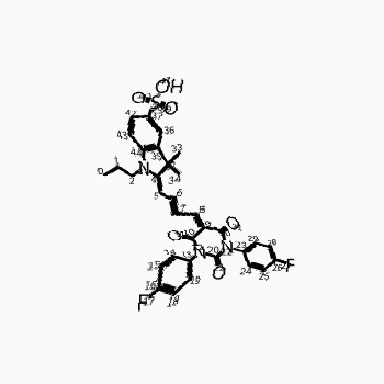 CCCN1/C(=C/C=C/C=C2C(=O)N(c3ccc(F)cc3)C(=O)N(c3ccc(F)cc3)C2=O)C(C)(C)c2cc(S(=O)(=O)O)ccc21